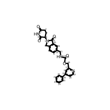 O=C1CCC(N2Cc3ccc(CNC(=O)OCc4cc(-c5ccccc5)ccn4)cc3C2=O)C(=O)N1